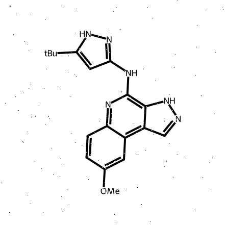 COc1ccc2nc(Nc3cc(C(C)(C)C)[nH]n3)c3[nH]ncc3c2c1